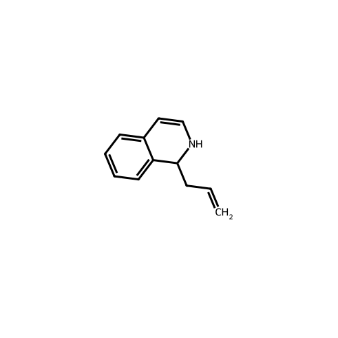 C=CCC1NC=Cc2ccccc21